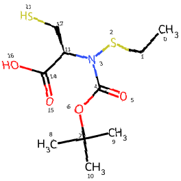 CCSN(C(=O)OC(C)(C)C)[C@H](CS)C(=O)O